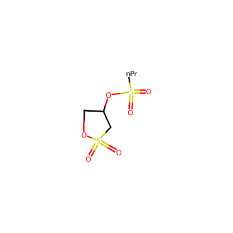 CCCS(=O)(=O)OC1COS(=O)(=O)C1